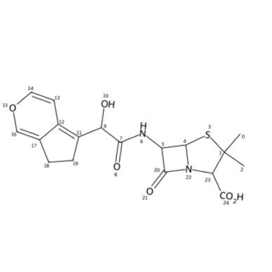 CC1(C)SC2C(NC(=O)C(O)C3=C4C=COC=C4CC3)C(=O)N2C1C(=O)O